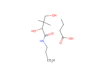 CC(C)(CO)C(O)C(=O)NCCC(=O)O.CCCC(=O)O